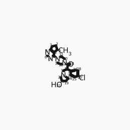 C[C@@H]1CCc2ncnc(N3CCN(C(=O)C(CN4CC[C@H](O)C4)c4ccc(Cl)cc4)CC3)c21